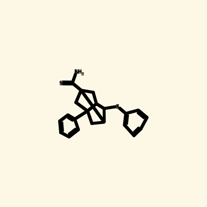 NC(=S)C12CC3C(Sc4ccccc4)C1CC3(c1ccccc1)C2